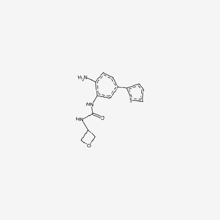 Nc1ccc(-c2cccs2)cc1NC(=O)NC1COC1